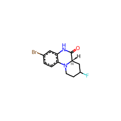 O=C1Nc2cc(Br)ccc2N2CCC(F)C[C@@H]12